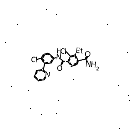 CCc1c(C(N)=O)ccc(C(=O)Nc2ccc(Cl)c(-c3ccccn3)c2)c1Cl